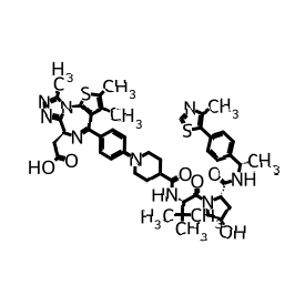 Cc1ncsc1-c1ccc([C@H](C)NC(=O)[C@@H]2C[C@@H](O)CN2C(=O)[C@@H](NC(=O)C2CCN(c3ccc(C4=N[C@@H](CC(=O)O)c5nnc(C)n5-c5sc(C)c(C)c54)cc3)CC2)C(C)(C)C)cc1